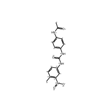 CC(=O)Nc1ccc(NC(=O)Nc2ccc(C)c([N+](=O)[O-])c2)cc1